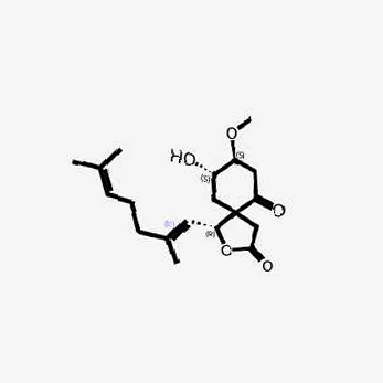 CO[C@H]1CC(=O)C2(CC(=O)O[C@@H]2/C=C(\C)CCC=C(C)C)C[C@@H]1O